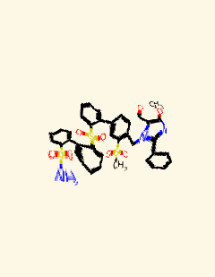 COc1nc(-c2ccccc2)n(Cc2ccc(-c3ccccc3S(=O)(=O)c3ccccc3-c3ccccc3S(N)(=O)=O)cc2S(C)(=O)=O)c1C=O